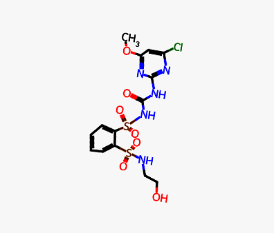 COc1cc(Cl)nc(NC(=O)NS(=O)(=O)c2ccccc2S(=O)(=O)NCCO)n1